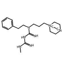 CNC(=N)NC(=N)N(CCC[N+]12CCN(CC1)CC2)CCc1ccccc1